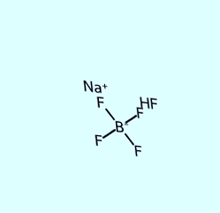 F.F[B-](F)(F)F.[Na+]